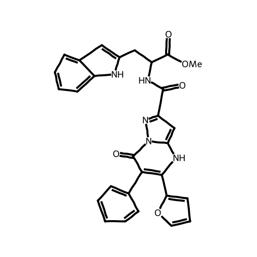 COC(=O)C(Cc1cc2ccccc2[nH]1)NC(=O)c1cc2[nH]c(-c3ccco3)c(-c3ccccc3)c(=O)n2n1